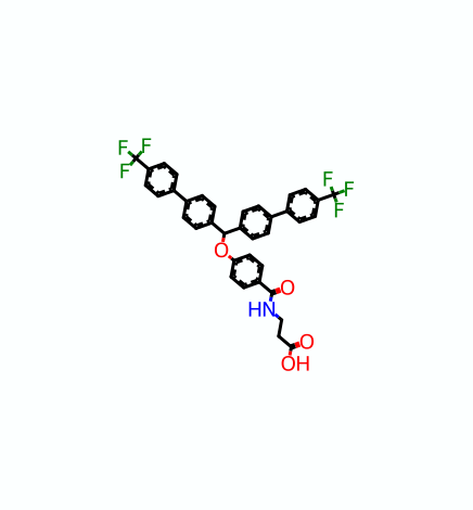 O=C(O)CCNC(=O)c1ccc(OC(c2ccc(-c3ccc(C(F)(F)F)cc3)cc2)c2ccc(-c3ccc(C(F)(F)F)cc3)cc2)cc1